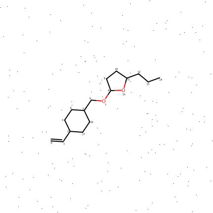 C=CC1CCC(COC2CCC(CCC)O2)CC1